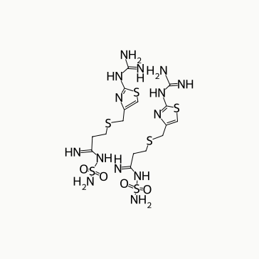 N=C(N)Nc1nc(CSCCC(=N)NS(N)(=O)=O)cs1.N=C(N)Nc1nc(CSCCC(=N)NS(N)(=O)=O)cs1